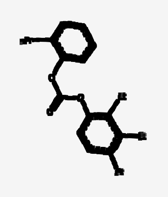 CCCc1ccccc1OC(=O)Oc1ccc(CC)c(CC)c1CC